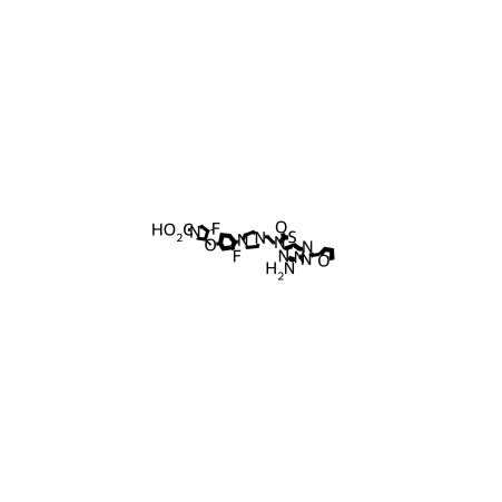 Nc1nc2c(sc(=O)n2CCN2CCN(c3ccc(O[C@H]4CN(C(=O)O)C[C@@H]4F)cc3F)CC2)c2nc(-c3ccco3)nn12